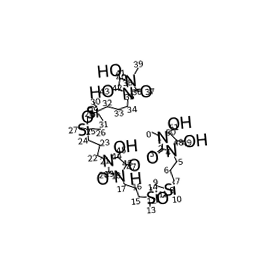 CN1C(=O)N(CCC[Si](C)(C)O[Si](C)(C)CCCN2C(=O)N(CCC[Si](C)(C)O[Si](C)(C)CCCN3C(=O)N(C)C(O)C3O)C(O)C2O)C(O)C1O